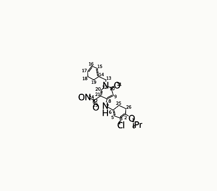 CC(C)OC1=C(Cl)C=C(Nc2cc(=O)n(CC3=CC=CCC3)cc2C(=O)N=O)CC1